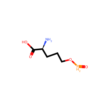 N[C@@H](CCCO[PH2]=O)C(=O)O